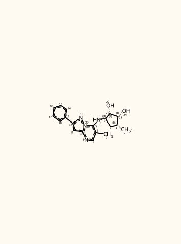 [CH2][C@@H]1C[C@@H](Nc2c(C)cnc3cc(-c4ccccc4)nn23)[C@H](O)[C@@H]1O